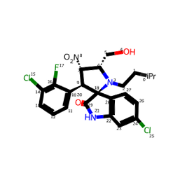 CC(C)CCN1[C@@H](CO)[C@@H]([N+](=O)[O-])[C@H](c2cccc(Cl)c2F)[C@]12C(=O)Nc1cc(Cl)ccc12